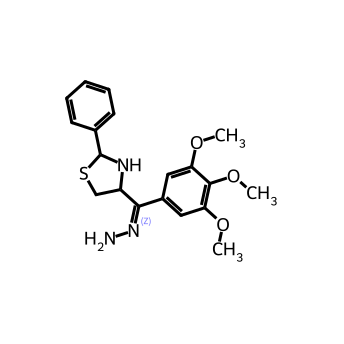 COc1cc(/C(=N/N)C2CSC(c3ccccc3)N2)cc(OC)c1OC